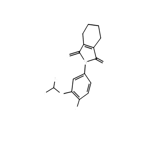 CCC(Oc1cc(N2C(=O)C3=C(CCCC3)C2=O)ccc1Cl)C(C)=O